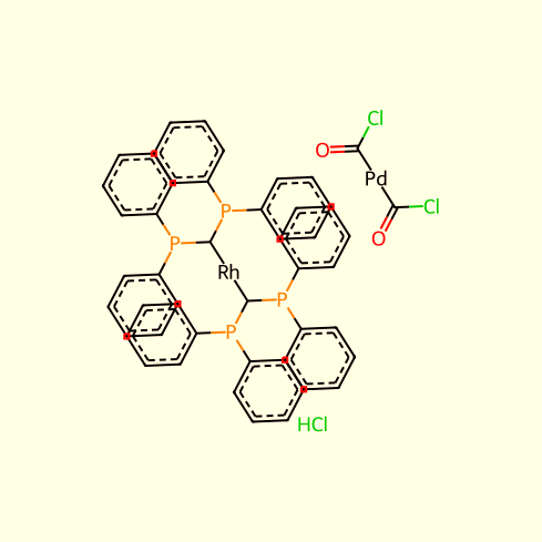 Cl.O=[C](Cl)[Pd][C](=O)Cl.c1ccc(P(c2ccccc2)[CH]([Rh][CH](P(c2ccccc2)c2ccccc2)P(c2ccccc2)c2ccccc2)P(c2ccccc2)c2ccccc2)cc1